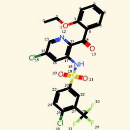 CCOc1ccccc1C(=O)c1ncc(Cl)cc1NS(=O)(=O)c1ccc(Cl)c(C(F)(F)F)c1